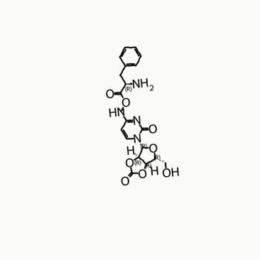 N[C@H](Cc1ccccc1)C(=O)ONc1ccn([C@@H]2O[C@H](CO)[C@H]3OC(=O)O[C@H]32)c(=O)n1